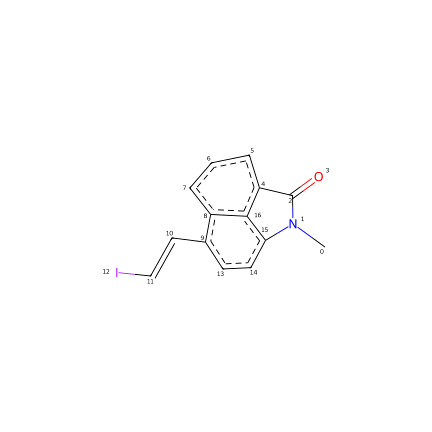 CN1C(=O)c2cccc3c(/C=C/I)ccc1c23